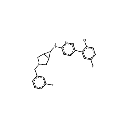 Fc1cccc(CN2CC3C(C2)C3Nc2ccc(-c3cc(F)ccc3Cl)nn2)c1